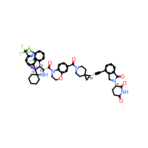 O=C1CC[C@H](N2Cc3c(C#C[C@@H]4CC45CCN(C(=O)c4ccc6c(c4)OCCN6C(=O)[C@@H]4NC6(CCCCC6)[C@@]6(CNc7cc(C(F)(F)F)ncc76)[C@H]4c4cccc(Cl)c4F)CC5)cccc3C2=O)C(=O)N1